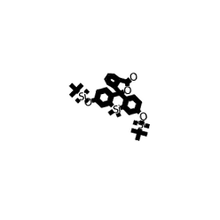 CC(C)(C)[Si](C)(C)Oc1ccc2c(c1)[Si](C)(C)c1cc(O[Si](C)(C)C(C)(C)C)ccc1C21OC(=O)c2ccccc21